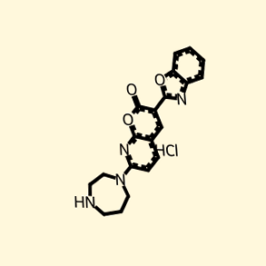 Cl.O=c1oc2nc(N3CCCNCC3)ccc2cc1-c1nc2ccccc2o1